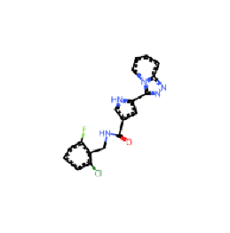 O=C(NCc1c(F)cccc1Cl)c1c[nH]c(-c2nnc3ccccn23)c1